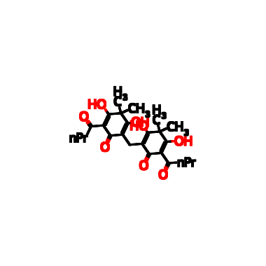 CCCC(=O)C1=C(O)C(C)(C)C(O)=C(CC2=C(O)C(C)(C)C(O)=C(C(=O)CCC)C2=O)C1=O